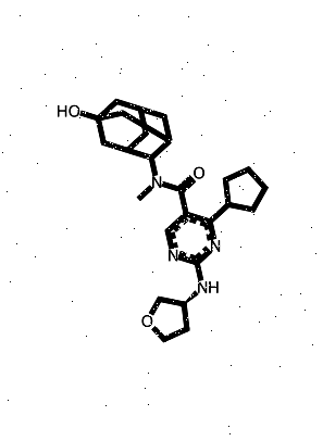 CN(C(=O)c1cnc(N[C@H]2CCOC2)nc1C1CCCC1)C1C2CC3CC1CC(O)(C3)C2